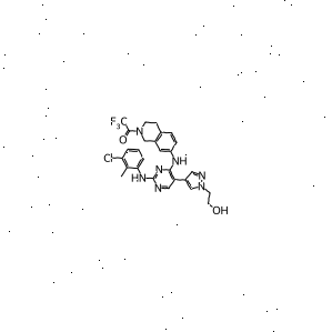 Cc1c(Cl)cccc1Nc1ncc(-c2cnn(CCO)c2)c(Nc2ccc3c(c2)CN(C(=O)C(F)(F)F)CC3)n1